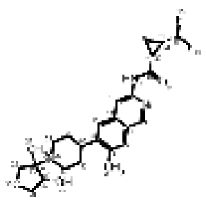 Cc1cc2cnc(NC(=O)[C@H]3C[C@@H]3C(F)F)cc2cc1C1CCN([C@@]2(C)COC[C@H]2O)CC1